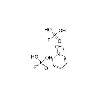 CN1C=CC=CC1.O=P(O)(O)F.O=P(O)(O)F